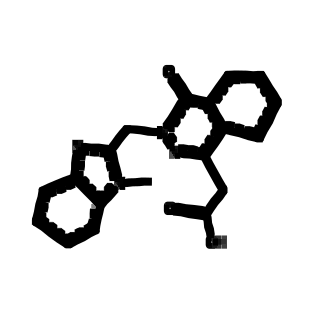 Cn1c(Cn2nc(CC(=O)O)c3ccccc3c2=O)nc2ccccc21